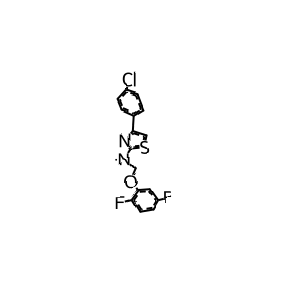 Fc1ccc(F)c(OC[N]c2nc(-c3ccc(Cl)cc3)cs2)c1